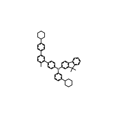 Cc1ccc(-c2ccc(C3CCCCC3)cc2)cc1-c1ccc(N(c2cccc(C3CCCCC3)c2)c2ccc3c(c2)C(C)(C)c2ccccc2-3)cc1